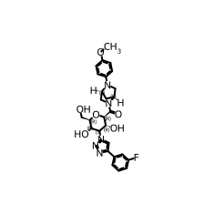 COc1ccc(N2C[C@@H]3C[C@H]2CN3C(=O)[C@@H]2O[C@H](CO)[C@H](O)[C@H](n3cc(-c4cccc(F)c4)nn3)[C@H]2O)cc1